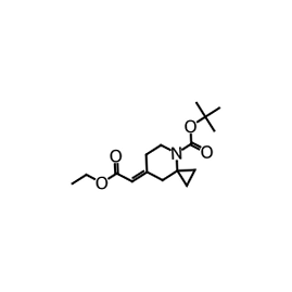 CCOC(=O)/C=C1\CCN(C(=O)OC(C)(C)C)C2(CC2)C1